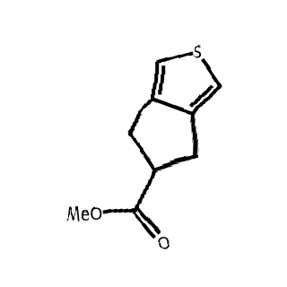 COC(=O)C1Cc2cscc2C1